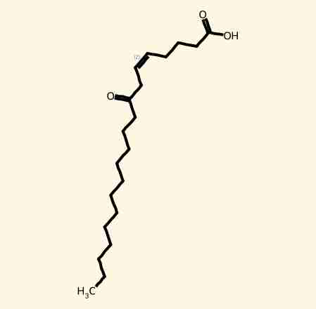 CCCCCCCCCCCCC(=O)C/C=C\CCCC(=O)O